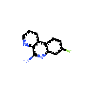 Nc1nc2cc(F)ccc2c2cccnc12